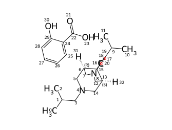 CC(C)CN1C[C@@H]2CN(C(C)C)C[C@H](C1)C21CCCCC1.O=C(O)c1ccccc1O